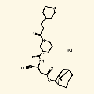 C#CC(CC(=O)OC1C2CC3CC(C2)CC1C3)NC(=O)[C@@H]1CCCN(C(=O)CCC2CCNCC2)C1.Cl